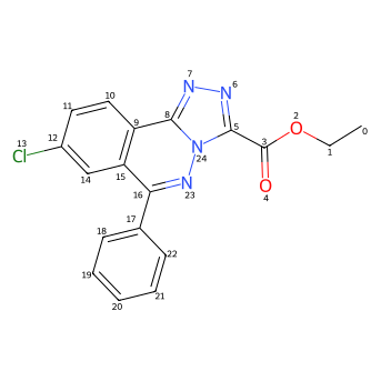 CCOC(=O)c1nnc2c3ccc(Cl)cc3c(-c3ccccc3)nn12